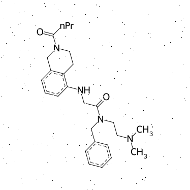 CCCC(=O)N1CCc2c(cccc2NCC(=O)N(CCN(C)C)Cc2ccccc2)C1